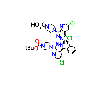 CC(C)c1ccccc1-c1nnc(N2CCN(C(=O)OC(C)(C)C)CC2)c2ncc(Cl)cc12.O=C(O)N1CCN(c2nnc(Cl)c3cc(Cl)cnc23)CC1